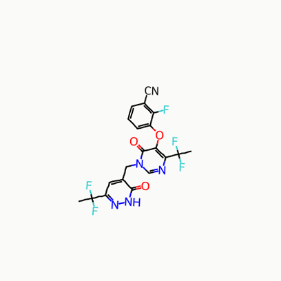 CC(F)(F)c1cc(Cn2cnc(C(C)(F)F)c(Oc3cccc(C#N)c3F)c2=O)c(=O)[nH]n1